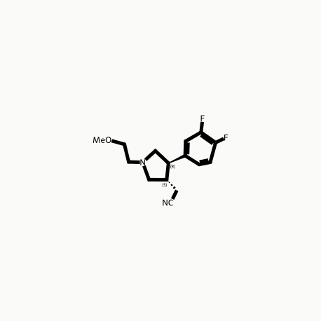 COCCN1C[C@@H](CC#N)[C@H](c2ccc(F)c(F)c2)C1